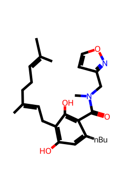 CCCCc1cc(O)c(C/C=C(\C)CCC=C(C)C)c(O)c1C(=O)N(C)Cc1ccon1